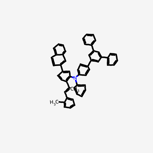 C/C(=C\c1ccccc1C)c1ccc(-c2ccc3ccccc3c2)cc1N(c1ccccc1)c1ccc(-c2cc(-c3ccccc3)cc(-c3ccccc3)c2)cc1